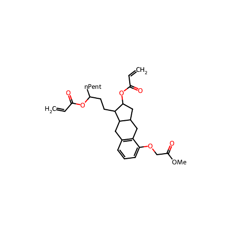 C=CC(=O)OC(CCCCC)CCC1C(OC(=O)C=C)CC2Cc3c(cccc3OCC(=O)OC)CC21